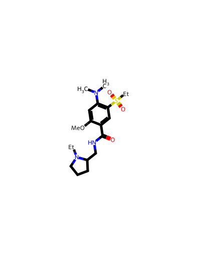 CCN1CCCC1CNC(=O)c1cc(S(=O)(=O)CC)c(N(C)C)cc1OC